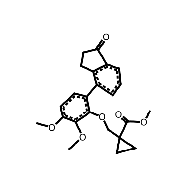 COC(=O)C1(COc2c(-c3cccc4c3CCC4=O)ccc(OC)c2OC)CC1